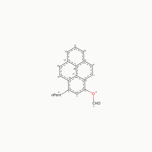 CCCCCc1cc(OC=O)c2ccc3cccc4ccc1c2c43